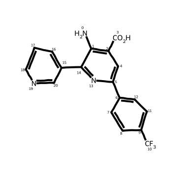 Nc1c(C(=O)O)cc(-c2ccc(C(F)(F)F)cc2)nc1-c1cccnc1